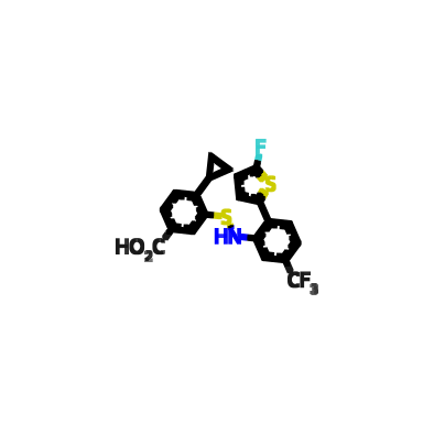 O=C(O)c1ccc(C2CC2)c(SNc2cc(C(F)(F)F)ccc2-c2ccc(F)s2)c1